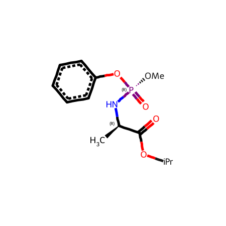 CO[P@](=O)(N[C@H](C)C(=O)OC(C)C)Oc1ccccc1